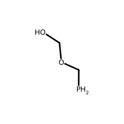 OCOCP